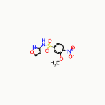 COc1cc(S(=O)(=O)Nc2ccon2)ccc1[N+](=O)[O-]